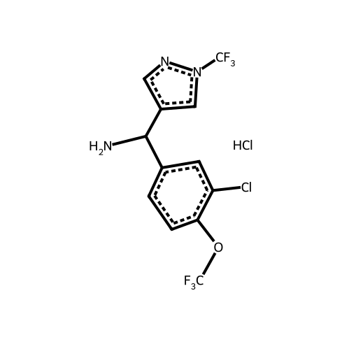 Cl.NC(c1ccc(OC(F)(F)F)c(Cl)c1)c1cnn(C(F)(F)F)c1